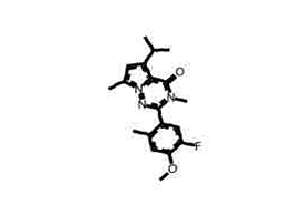 COc1cc(C)c(-c2nn3c(C)cc(C(C)C)c3c(=O)n2C)cc1F